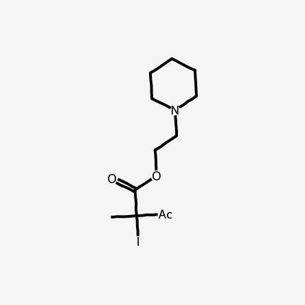 CC(=O)C(C)(I)C(=O)OCCN1CCCCC1